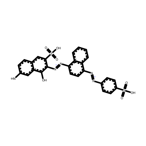 [NH]c1ccc2cc(S(=O)(=O)O)c(/N=N/c3ccc(/N=N/c4ccc(S(=O)(=O)O)cc4)c4ccccc34)c(O)c2c1